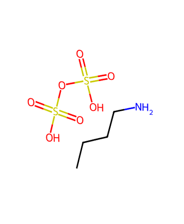 CCCCN.O=S(=O)(O)OS(=O)(=O)O